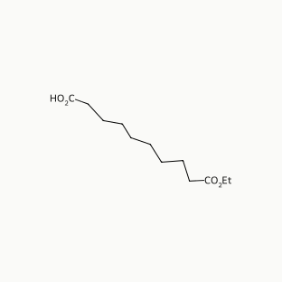 [CH2]COC(=O)CCCCCCCCC(=O)O